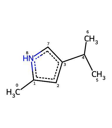 Cc1cc(C(C)C)c[nH]1